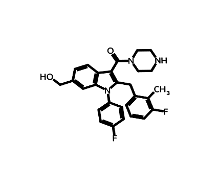 Cc1c(F)cccc1Cc1c(C(=O)N2CCNCC2)c2ccc(CO)cc2n1-c1ccc(F)cc1